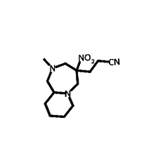 CN1CC2CCCCN2CC(CCC#N)([N+](=O)[O-])C1